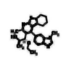 C=C(O)[C@@H](OCC)c1c(C)nc2sc3c(c2c1-c1ccc2ncn(C)c2c1)CCCC3